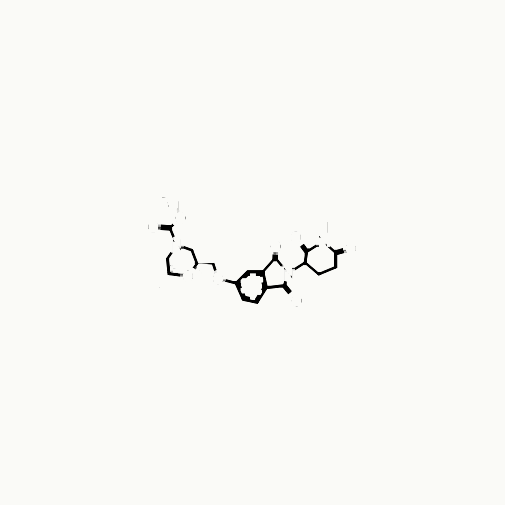 C[C@@H]1CN(C(=O)OC(C)(C)C)C[C@@H](COc2ccc3c(c2)C(=O)N(C2CCC(=O)NC2=O)C3=O)O1